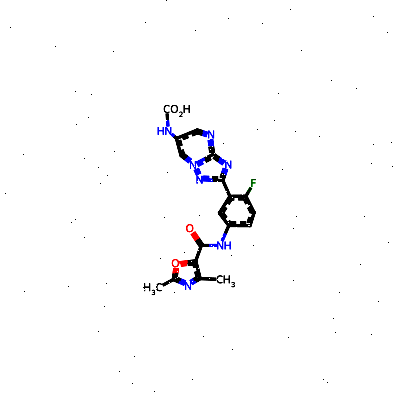 Cc1nc(C)c(C(=O)Nc2ccc(F)c(-c3nc4ncc(NC(=O)O)cn4n3)c2)o1